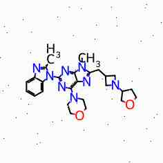 Cc1nc2ccccc2n1-c1nc(N2CCOCC2)c2nc(CC3CN(C4CCOC4)C3)n(C)c2n1